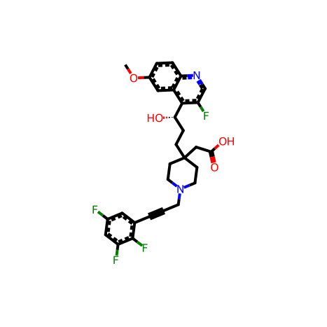 COc1ccc2ncc(F)c([C@@H](O)CCC3(CC(=O)O)CCN(CC#Cc4cc(F)cc(F)c4F)CC3)c2c1